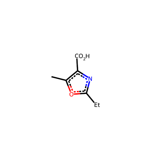 CCc1nc(C(=O)O)c(C)o1